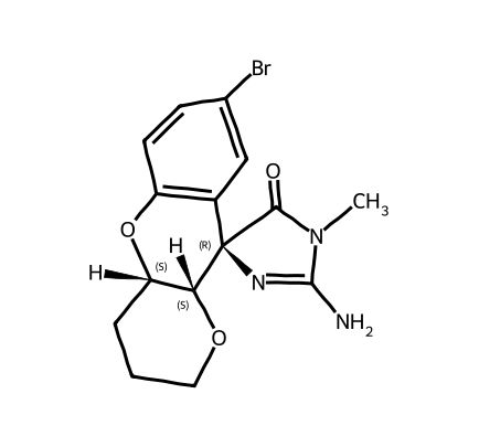 CN1C(=O)[C@@]2(N=C1N)c1cc(Br)ccc1O[C@H]1CCCO[C@H]12